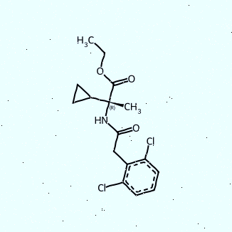 CCOC(=O)[C@](C)(NC(=O)Cc1c(Cl)cccc1Cl)C1CC1